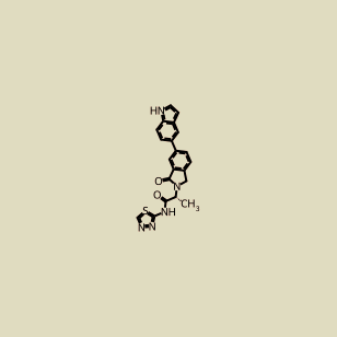 C[C@H](C(=O)Nc1nncs1)N1Cc2ccc(-c3ccc4[nH]ccc4c3)cc2C1=O